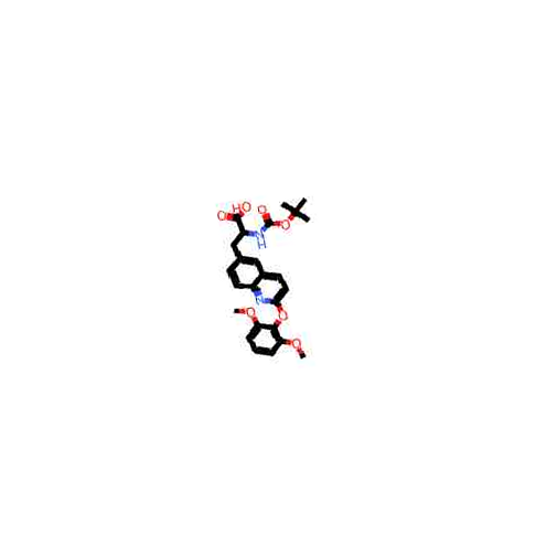 COc1cccc(OC)c1Oc1ccc2cc(CC(NC(=O)OC(C)(C)C)C(=O)O)ccc2n1